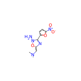 CN(C)C=C1N=C(c2ccc([N+](=O)[O-])o2)N(N)O1